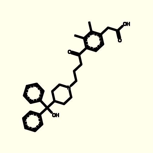 Cc1c(CC(=O)O)ccc(C(=O)CCCN2CCC(C(O)(c3ccccc3)c3ccccc3)CC2)c1C